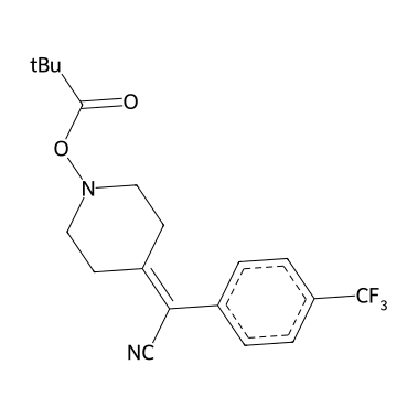 CC(C)(C)C(=O)ON1CCC(=C(C#N)c2ccc(C(F)(F)F)cc2)CC1